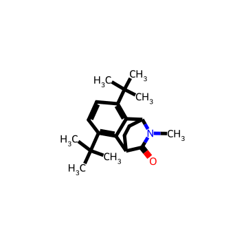 CN1C(=O)C2CCC1c1c(C(C)(C)C)ccc(C(C)(C)C)c12